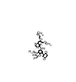 COCCOc1cc2ncnc(Nc3cc(OC)c(OC(CF)CF)c(C4=CC(=O)C=CC4=O)c3)c2cc1OC